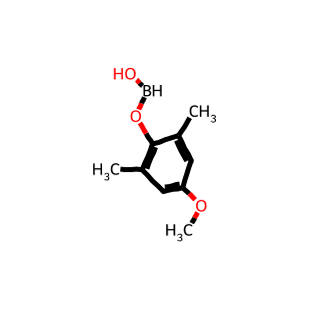 COc1cc(C)c(OBO)c(C)c1